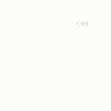 CC(C)C1(CO)CCc2ccccc21